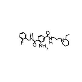 CCC1CCCCN1CCCNC(=O)c1ccc(C(=O)NCc2ccccc2F)c(N)c1